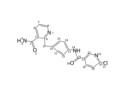 NC(=O)c1cccnc1Cc1ccc(NC(=O)c2ccc(Cl)nc2)cc1